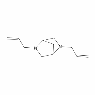 C=CCN1CC2CC1CN2CC=C